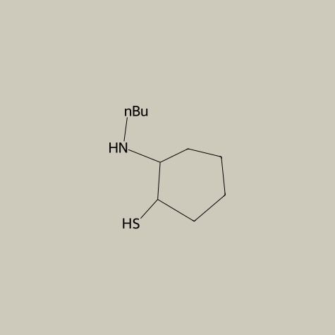 CCCCNC1CCCCC1S